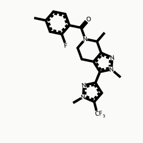 Cc1ccc(C(=O)N2CCc3c(nn(C)c3-c3cc(C(F)(F)F)n(C)n3)C2C)c(F)c1